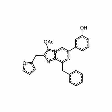 CC(=O)Oc1c(Cc2ccco2)nc2c(Cc3ccccc3)nc(-c3cccc(O)c3)cn12